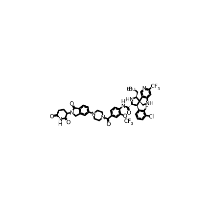 CC(C)(C)C[C@@H]1N[C@@H](C(=O)Nc2ccc(C(=O)N3CCN(c4ccc5c(c4)CN(C4CCC(=O)NC4=O)C5=O)CC3)cc2OC(F)(F)F)[C@H](c2cccc(Cl)c2F)[C@]12CNc1cc(C(F)(F)F)ncc12